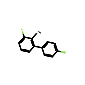 CC(C)c1c(-c2ccc(F)cc2)[c]ccc1F